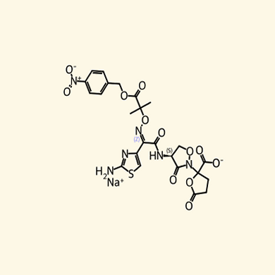 CC(C)(O/N=C(\C(=O)N[C@H]1CON(C2(C(=O)[O-])CCC(=O)O2)C1=O)c1csc(N)n1)C(=O)OCc1ccc([N+](=O)[O-])cc1.[Na+]